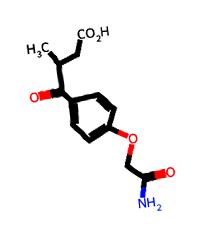 CC(CC(=O)O)C(=O)c1ccc(OCC(N)=O)cc1